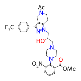 COC(=O)c1cccc([N+](=O)[O-])c1N1CCN(CC(O)Cn2nc(-c3ccc(C(F)(F)F)cc3)c3c2CCN(C(C)=O)C3)CC1